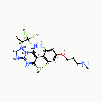 CNCCCOc1cc(F)c(C2=C(N)N3C(=NCN3C(C)C(F)(F)F)N=C2Cl)c(F)c1